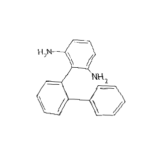 Nc1cccc(N)c1-c1ccccc1-c1ccccc1